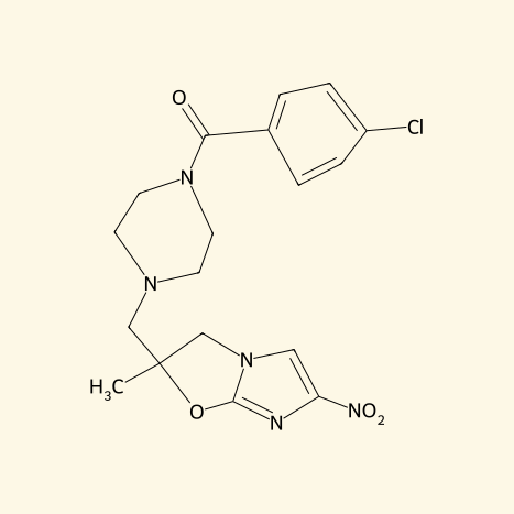 CC1(CN2CCN(C(=O)c3ccc(Cl)cc3)CC2)Cn2cc([N+](=O)[O-])nc2O1